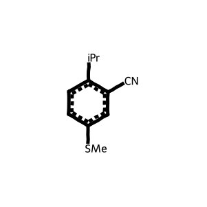 CSc1ccc(C(C)C)c(C#N)c1